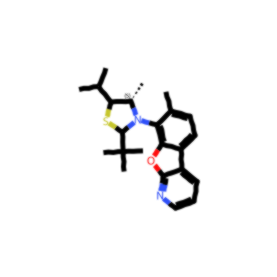 Cc1ccc2c(oc3ncccc32)c1N1C(C(C)(C)C)SC(C(C)C)[C@@H]1C